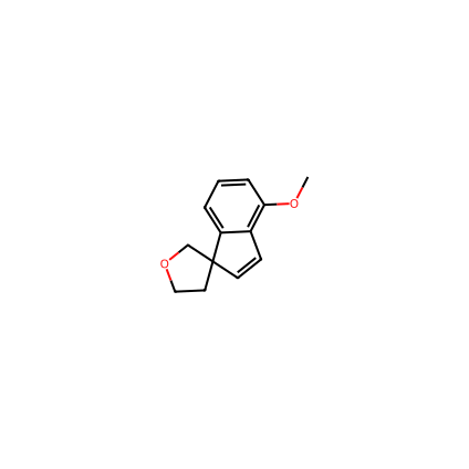 COc1cccc2c1C=CC21CCOC1